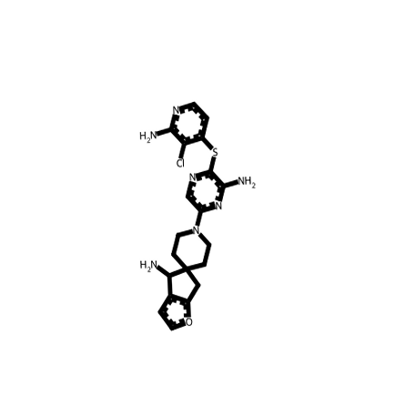 Nc1nc(N2CCC3(CC2)Cc2occc2C3N)cnc1Sc1ccnc(N)c1Cl